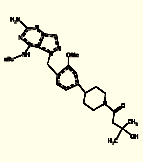 CCCCNc1nc(N)nc2cnn(Cc3ccc(C4CCN(C(=O)CC(C)(C)O)CC4)cc3OC)c12